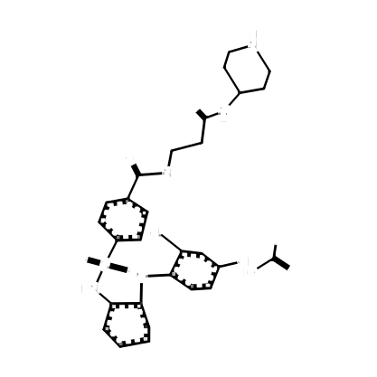 CC(=O)O.O=C(CCNC(=O)c1ccc(S(=O)(=O)Nc2ccccc2Oc2ccc(Cl)cc2Cl)cc1)NC1CCNCC1